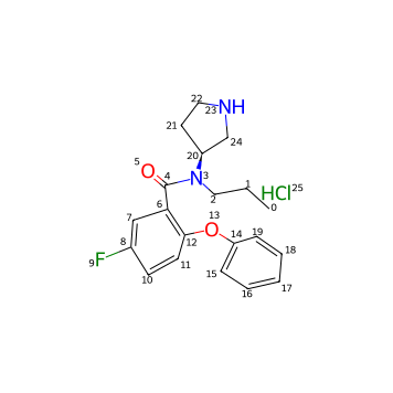 CCCN(C(=O)c1cc(F)ccc1Oc1ccccc1)[C@H]1CCNC1.Cl